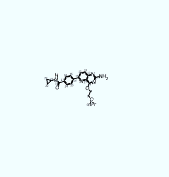 CCCOCCOc1nc(N)nc2ccc(-c3ccc(C(=O)NC4CC4)cc3)nc12